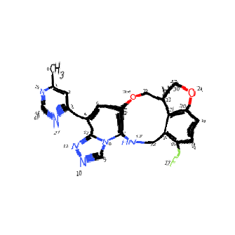 Cc1cc(-c2cc3c(n4cnnc24)NCc2c(F)ccc4c2[C@H](CO4)CO3)ncn1